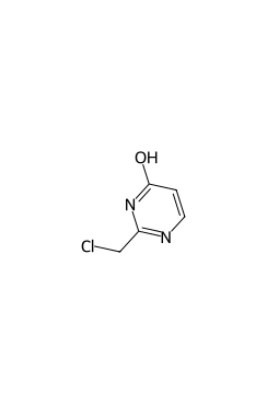 Oc1ccnc(CCl)n1